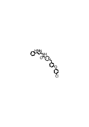 O=C(Nc1cc(-c2ccccc2)[nH]n1)N1CCN(Cc2cccc(Oc3ccc(Cl)cc3)c2)CC1